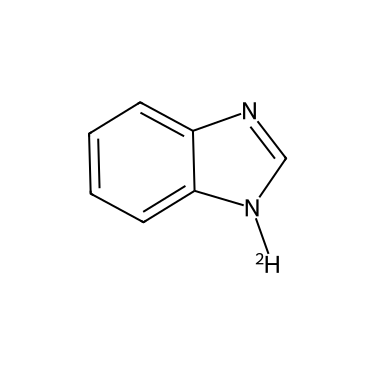 [2H]n1cnc2ccccc21